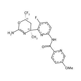 COc1ccc(C(=O)Nc2ccc(F)c([C@]3(C)C[C@@H](C(F)(F)F)OC(N)=N3)n2)nc1